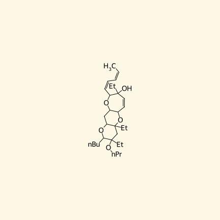 C/C=C\C=C/C1OC2CC3OC(CCCC)C(CC)(OCCC)CC3(CC)OC2C=CC1(O)CC